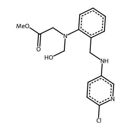 COC(=O)CN(CO)c1ccccc1CNc1ccc(Cl)nc1